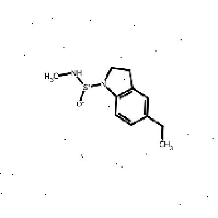 CCc1ccc2c(c1)CCN2[S+]([O-])NC